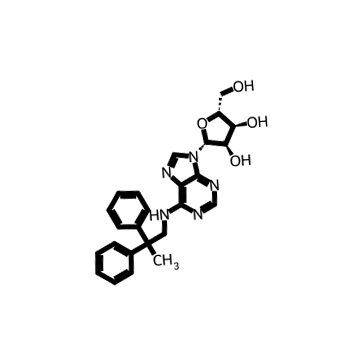 CC(CNc1ncnc2c1ncn2[C@@H]1O[C@H](CO)[C@@H](O)[C@H]1O)(c1ccccc1)c1ccccc1